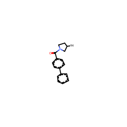 [2H]C1CCN(C(=O)c2ccc(-c3ccccc3)cc2)C1